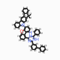 CC1(C)c2ccccc2-c2cc3c4ccccc4n(-c4cccc5c4oc4cccc(C6N=C(c7cccc(-c8ccccc8)c7)NC(c7ccccc7)N6)c45)c3cc21